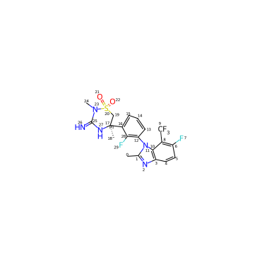 Cc1nc2ccc(F)c(C(F)(F)F)c2n1-c1cccc([C@]2(C)CS(=O)(=O)N(C)C(=N)N2)c1F